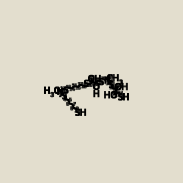 CN(CSCCCCCCS)CSCCCCCCSCC(O)C(O)CSCN(C)CSCC(O)C(O)CS